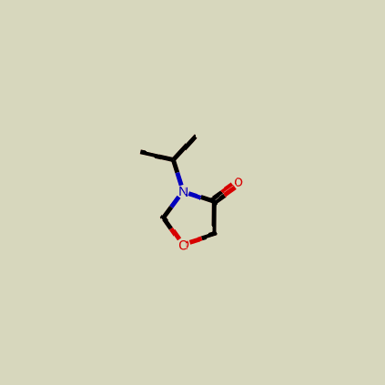 CC(C)N1COCC1=O